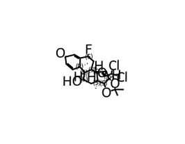 CC1(C)O[C@@H]2C[C@H]3[C@@H]4C[C@H](F)C5=CC(=O)C=C[C@]5(C)[C@H]4[C@@H](O)C[C@]3(C)[C@]2(C(=O)C(Cl)Cl)O1